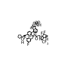 Cn1nc(NS(C)(=O)=O)c2cccc(-c3ccc(C#CC4(O)CCCC4)nc3[C@H](Cc3cc(F)cc(F)c3)NC(=O)Cn3nc(C(F)(F)F)c4c3C(F)(F)C3C[C@H]43)c21